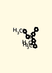 Cc1cccc(-c2cccc(N(c3ccc(-c4ccccc4)cc3)c3ccc4c(c3)C(C)(C)c3ccccc3-4)c2)c1